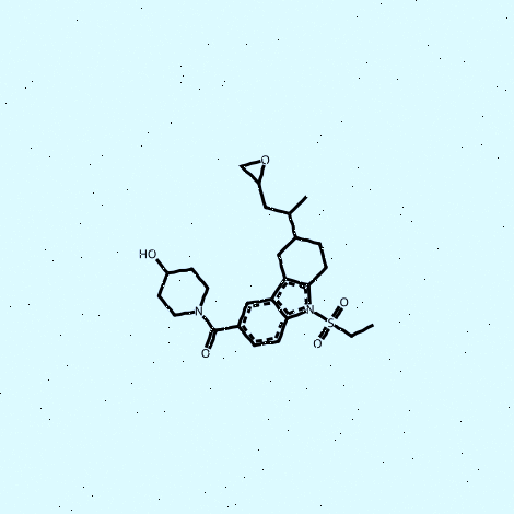 CCS(=O)(=O)n1c2c(c3cc(C(=O)N4CCC(O)CC4)ccc31)CC(C(C)CC1CO1)CC2